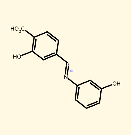 O=C(O)c1ccc(/N=N/c2cccc(O)c2)cc1O